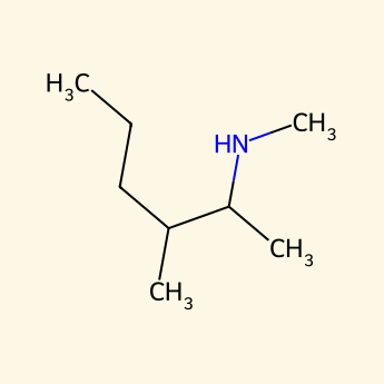 CCCC(C)C(C)NC